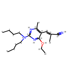 CCCCN(CCCC)c1nc(C)c(/C=C(\C)C#N)c(OCC)n1